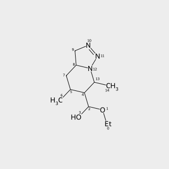 CCOC(O)C1C(C)CC2CN=NN2C1C